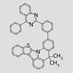 CC1(C)c2ccc(-c3cccc(-c4nc(-c5ccccc5)c5ccccc5n4)c3)cc2-n2c3sc4ccccc4c3c3cccc1c32